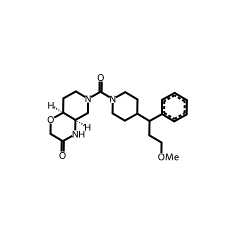 COCCC(c1ccccc1)C1CCN(C(=O)N2CC[C@@H]3OCC(=O)N[C@@H]3C2)CC1